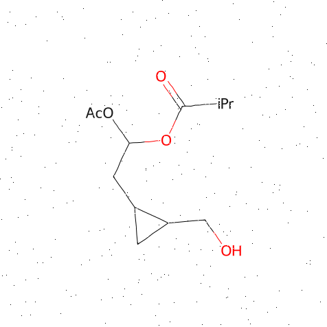 CC(=O)OC(CC1CC1CO)OC(=O)C(C)C